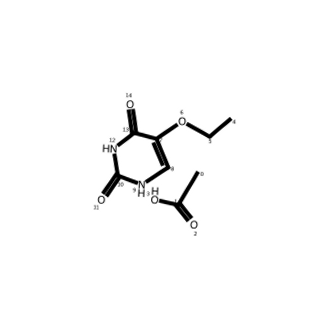 CC(=O)O.CCOc1c[nH]c(=O)[nH]c1=O